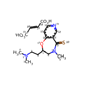 CN(C)CCC1CN(C)C(=S)c2cnccc2O1.O=C(O)C=CC(=O)O